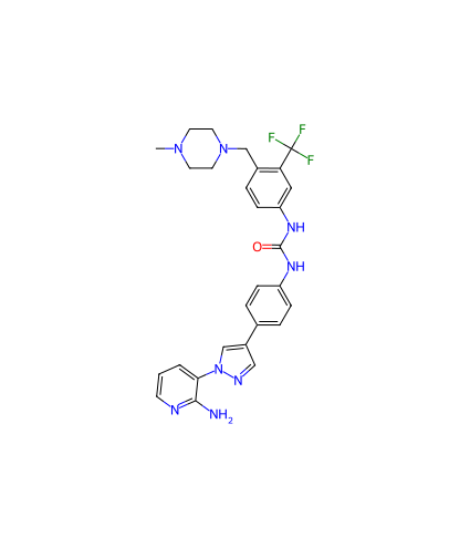 CN1CCN(Cc2ccc(NC(=O)Nc3ccc(-c4cnn(-c5cccnc5N)c4)cc3)cc2C(F)(F)F)CC1